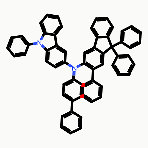 c1ccc(-c2ccc(N(c3ccc4c(c3)c3ccccc3n4-c3ccccc3)c3cc4c(cc3-c3ccccc3)C(c3ccccc3)(c3ccccc3)c3ccccc3-4)cc2)cc1